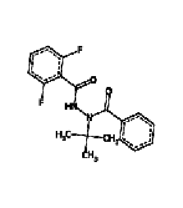 CC(C)(C)N(NC(=O)c1c(F)cccc1F)C(=O)c1ccccc1